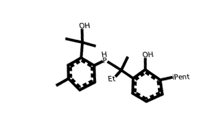 CCCC(C)c1cccc(C(C)(CC)Pc2ccc(C)cc2C(C)(C)O)c1O